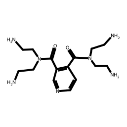 NCCN(CCN)C(=O)c1ccncc1C(=O)N(CCN)CCN